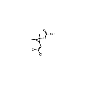 CC1C(C=C(Cl)Cl)C1(C)OC(=O)O